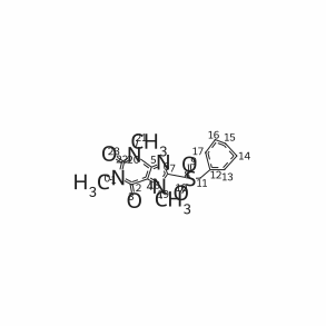 Cn1c(=O)c2c(nc(S(=O)(=O)Cc3ccccc3)n2C)n(C)c1=O